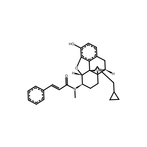 CN(C(=O)C=Cc1ccccc1)[C@@H]1CC[C@@]2(O)[C@H]3Cc4ccc(O)c5c4[C@@]2(CCN3CC2CC2)[C@H]1O5